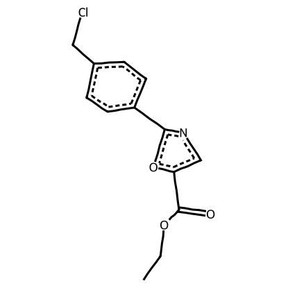 CCOC(=O)c1cnc(-c2ccc(CCl)cc2)o1